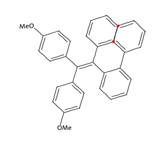 COc1ccc(C(=C(c2ccccc2)c2ccccc2-c2ccccc2)c2ccc(OC)cc2)cc1